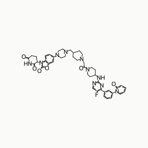 O=C1CCC(n2c(=O)oc3cc(N4CCN(CC5CCN(CC(=O)N6CCC(Nc7ncc(F)c(-c8cccc(-n9ccccc9=O)c8)n7)CC6)CC5)CC4)ccc32)C(=O)N1